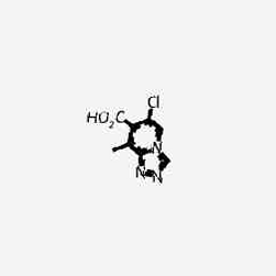 Cc1c(C(=O)O)c(Cl)cn2cnnc12